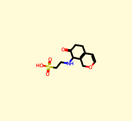 O=C1CCC2=C(COC=C2)C1NCCS(=O)(=O)O